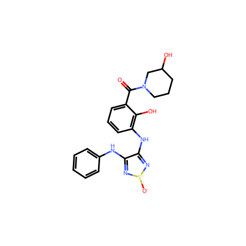 O=C(c1cccc(Nc2n[s+]([O-])nc2Nc2ccccc2)c1O)N1CCCC(O)C1